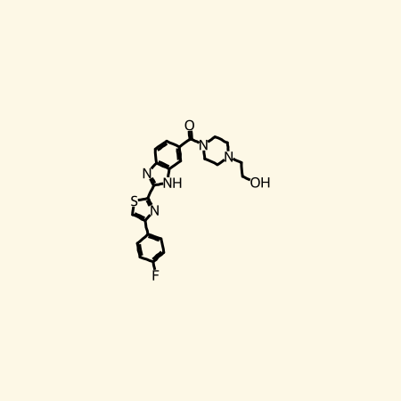 O=C(c1ccc2nc(-c3nc(-c4ccc(F)cc4)cs3)[nH]c2c1)N1CCN(CCO)CC1